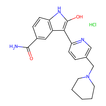 Cl.NC(=O)c1ccc2[nH]c(O)c(-c3ccc(CN4CCCCC4)cn3)c2c1